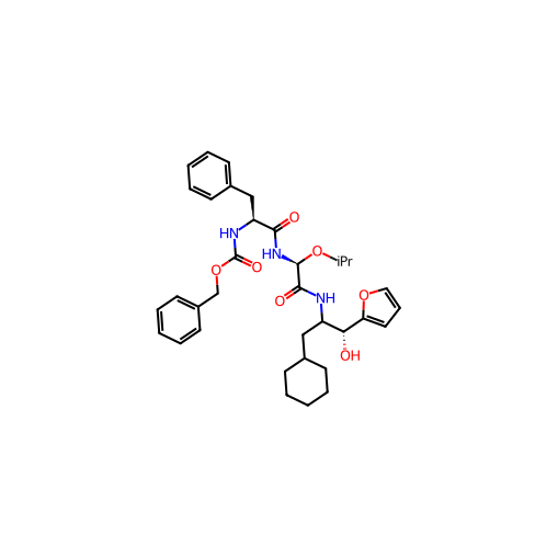 CC(C)O[C@H](NC(=O)[C@H](Cc1ccccc1)NC(=O)OCc1ccccc1)C(=O)NC(CC1CCCCC1)[C@@H](O)c1ccco1